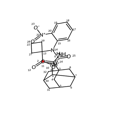 NC(=O)C12CC3CC(C1)C(NC(=O)C1(N(c4ccccc4[N+](=O)[O-])[SH](=O)=O)CCC1)C(C3)C2